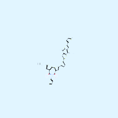 Cc1ccc(-c2cc3c(C)c4sc(-c5ccc(-c6cc7c(=O)n(-c8cccs8)c(=O)c8cc(C)sc8c7s6)s5)cc4c(C)c3s2)s1